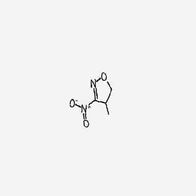 CC1CON=C1[N+](=O)[O-]